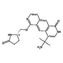 CC(C)(N)c1c[nH]c(=O)c2cc3ccnc(OC[C@@H]4CCC(=O)N4)c3cc12